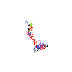 COc1cc(/C=C2\SC(=O)N(CCOCCOCCCOCCOCCOc3cc(-c4scnc4C)ccc3CNC(=O)[C@@H]3C[C@@H](O)CN3C(=O)[C@H](C(C)C)N3Cc4ccccc4C3=O)C2=O)ccc1Oc1ccc(C#N)cc1C(F)(F)F